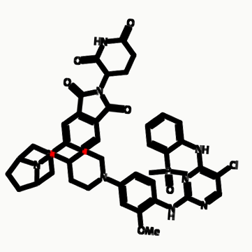 COc1cc(N2CCC(CN3C4CCC3CN(c3ccc5c(c3)C(=O)N(C3CCC(=O)NC3=O)C5=O)C4)CC2)ccc1Nc1ncc(Cl)c(Nc2ccccc2P(C)(C)=O)n1